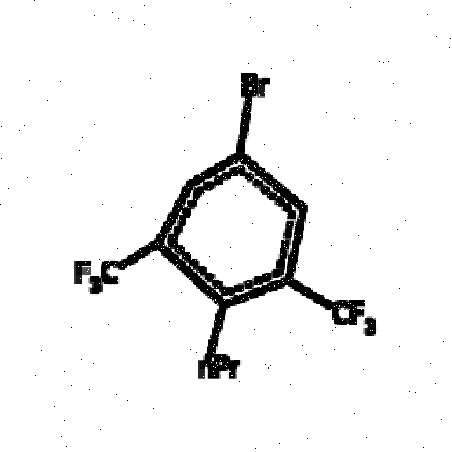 CCCc1c(C(F)(F)F)cc(Br)cc1C(F)(F)F